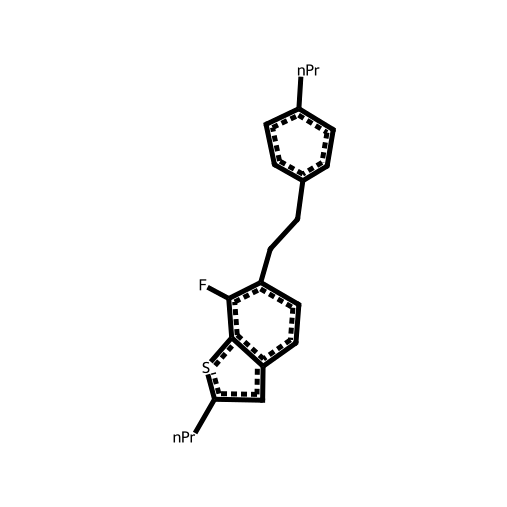 CCCc1ccc(CCc2ccc3cc(CCC)sc3c2F)cc1